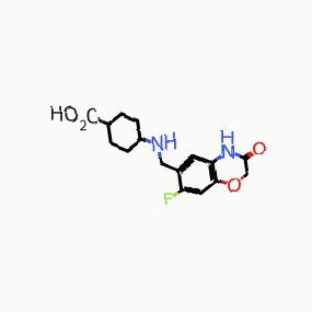 O=C1COc2cc(F)c(CNC3CCC(C(=O)O)CC3)cc2N1